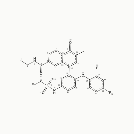 CCNC(=O)c1ccc2c(=O)c(C)cn(-c3cc(NS(=O)(=O)CC)ccc3Oc3ccc(F)cc3F)c2c1